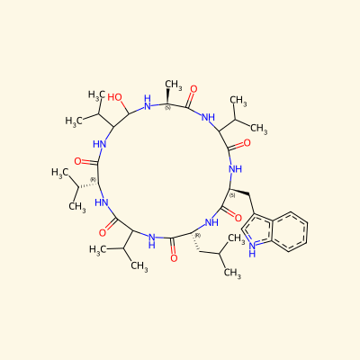 CC(C)C[C@H]1NC(=O)[C@H](Cc2c[nH]c3ccccc23)NC(=O)C(C(C)C)NC(=O)[C@H](C)NC(O)C(C(C)C)NC(=O)[C@@H](C(C)C)NC(=O)C(C(C)C)NC1=O